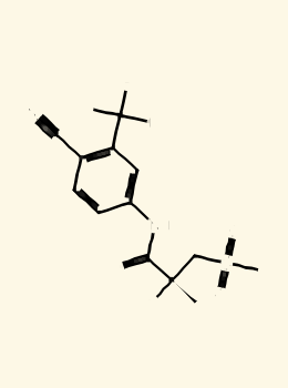 C[C@](O)(CS(C)(=O)=O)C(=O)Nc1ccc(C#N)c(C(F)(F)F)c1